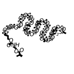 C=C(C)C(=O)OCCNC(=O)OCCC[Si](C)(C)O[Si](C)(C)O[Si](C)(C)O[Si](C)(C)O[Si](C)(C)O[Si](C)(C)O[Si](C)(C)O[Si](C)(C)O[Si](C)(C)O[Si](C)(C)O[Si](C)(C)O[Si](C)(C)O[Si](C)(C)O[Si](C)(C)O[Si](C)(C)O[Si](C)(C)O[Si](C)(C)O[Si](C)(C)O[Si](C)(C)O[Si](C)(C)O[Si](C)(C)O[Si](C)(C)O[Si](C)(C)O[SiH2]C